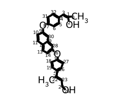 CC(O)=Cc1ccc(Oc2ccc3ccc(Oc4ccc(C(C)=CCO)cc4)cc3c2)cc1